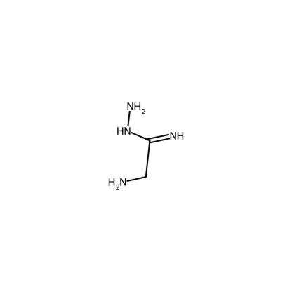 N=C(CN)NN